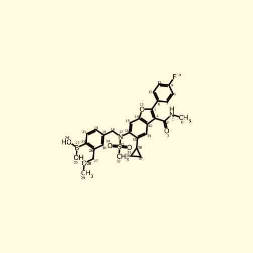 CNC(=O)c1c(-c2ccc(F)cc2)oc2cc(N(Cc3ccc(B(O)O)c(COC)c3)S(C)(=O)=O)c(C3CC3)cc12